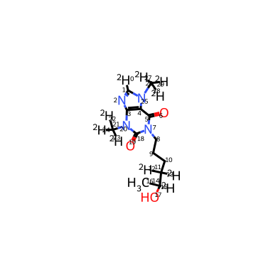 [2H]c1nc2c(c(=O)n(CCCC([2H])([2H])C([2H])(C)O)c(=O)n2C([2H])([2H])[2H])n1C([2H])([2H])[2H]